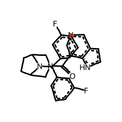 O=C(c1cncc2cc[nH]c12)N1CC2CCC(C1)N2C(c1cccc(F)c1)c1cccc(F)c1